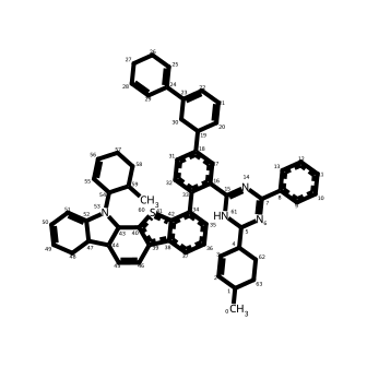 CC1C=CC(C2N=C(c3ccccc3)N=C(c3cc(C4C=CC=C(C5=CCCC=C5)C4)ccc3-c3cccc4c5c(sc34)C3C(C=C5)C4CC=CC=C4N3C3C=CCCC3C)N2)CC1